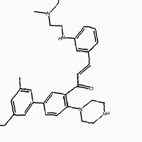 Cc1cc(C)cc(-c2ccc(N3CCNCC3)c(C(=O)C=Cc3cccc(NCCN(C)C)c3)c2)c1